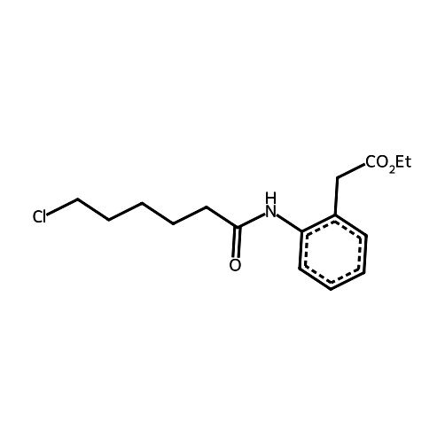 CCOC(=O)Cc1ccccc1NC(=O)CCCCCCl